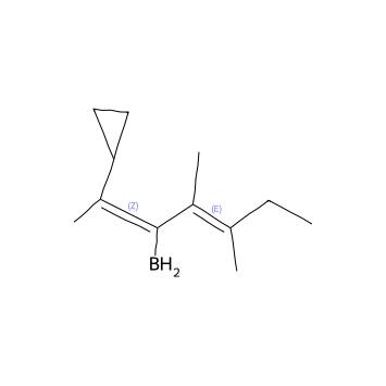 BC(=C(\C)C1CC1)/C(C)=C(\C)CC